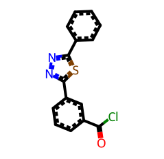 O=C(Cl)c1cccc(-c2nnc(-c3ccccc3)s2)c1